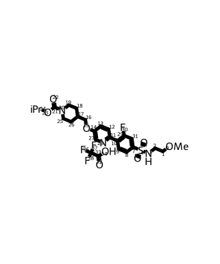 COCCNS(=O)(=O)c1ccc(-c2ccc(OCC3CCN(C(=O)OC(C)C)CC3)cn2)c(F)c1.O=C(O)C(F)(F)F